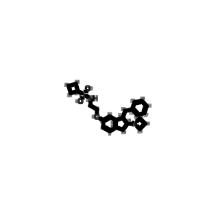 O=S(=O)(NCCOc1ccc2c(c1)C(Cc1ccccc1)C(N1CCC1)C2)C1CCC1